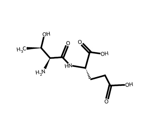 C[C@@H](O)[C@H](N)C(=O)N[C@@H](CCC(=O)O)C(=O)O